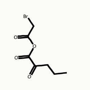 CCCC(=O)C(=O)OC(=O)CBr